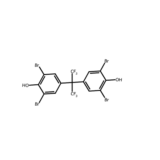 Oc1c(Br)cc(C(c2cc(Br)c(O)c(Br)c2)(C(F)(F)F)C(F)(F)F)cc1Br